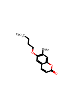 CCOC(=O)CCCOc1cc2ccc(=O)oc2cc1OC